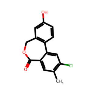 Cc1cc2c(cc1Cl)-c1ccc(O)cc1COC2=O